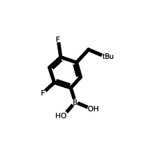 CC(C)(C)Cc1cc(B(O)O)c(F)cc1F